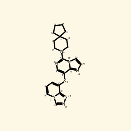 c1cc(Sc2cnc(N3CCC4(CCCC4)CC3)n3ccnc23)c2nncn2c1